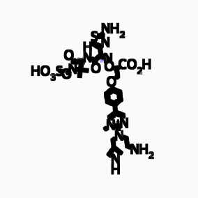 C[n+]1cc(-c2ccc(OCC(O/N=C(\C(=O)N[C@@H]3C(=O)N(OS(=O)(=O)O)C3(C)C)c3csc(N)n3)C(=O)O)cc2)cnc1N(CCN)CC1CNC1